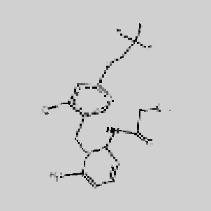 CCC(=O)NC1N=CC=C(C)N1Cc1cnc(OCC(F)(F)F)cc1C